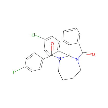 O=C(c1ccc(F)cc1)N1CCCCN2C(=O)c3ccccc3C12c1ccc(Cl)cc1